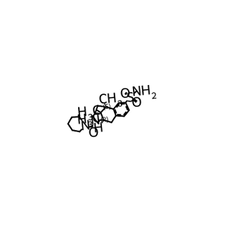 CC1(C)[C@H]2Cc3ccc(S(N)(=O)=O)cc3[C@]1(C)CCN2C(=O)N1CCCCC1